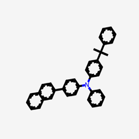 CC(C)(c1ccccc1)c1ccc(N(c2ccccc2)c2ccc(-c3ccc4ccccc4c3)cc2)cc1